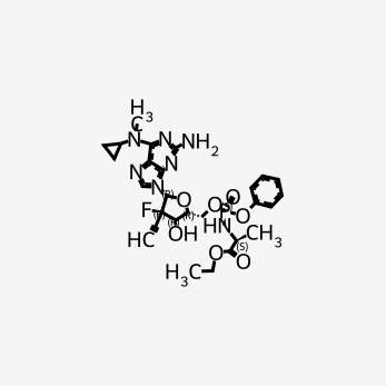 C#C[C@@]1(F)[C@H](O)[C@@H](CO[P@@](=O)(N[C@@H](C)C(=O)OCC)Oc2ccccc2)O[C@H]1n1cnc2c(N(C)C3CC3)nc(N)nc21